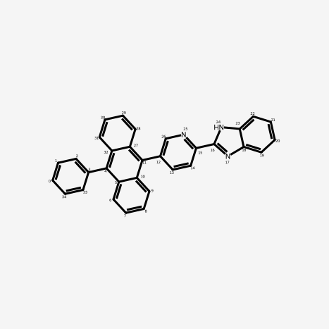 c1ccc(-c2c3ccccc3c(-c3ccc(-c4nc5ccccc5[nH]4)nc3)c3ccccc23)cc1